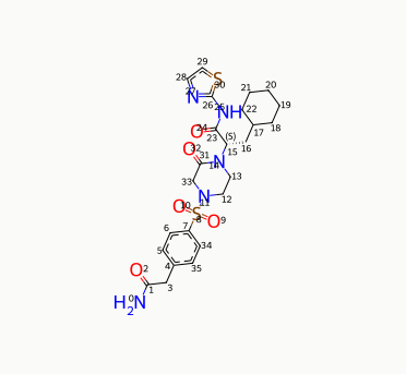 NC(=O)Cc1ccc(S(=O)(=O)N2CCN([C@@H](CC3CCCCC3)C(=O)Nc3nccs3)C(=O)C2)cc1